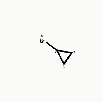 Br[C]1CC1